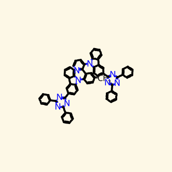 FC(F)(F)c1ccc(-n2c3ccccc3c3cc(-c4nc(-c5ccccc5)nc(-c5ccccc5)n4)ccc32)c(-c2ncccc2-n2c3ccccc3c3cc(-c4nc(-c5ccccc5)nc(-c5ccccc5)n4)ccc32)c1